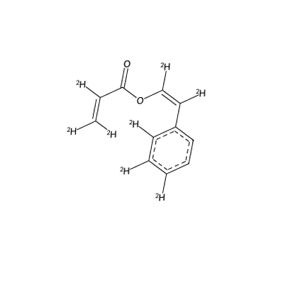 [2H]C([2H])=C([2H])C(=O)OC([2H])=C([2H])c1ccc([2H])c([2H])c1[2H]